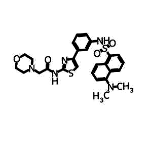 CN(C)c1cccc2c(S(=O)(=O)Nc3cccc(-c4csc(NC(=O)CN5CCOCC5)n4)c3)cccc12